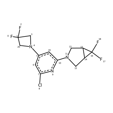 FC1(F)CN(c2cc(Cl)nc(N3CC4C(C3)C4(F)F)c2)C1